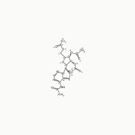 CC(=O)Nc1ncnn2c(C3OC(COC(C)=O)[C@@H](OC(C)=O)[C@H]3OC(C)=O)ccc12